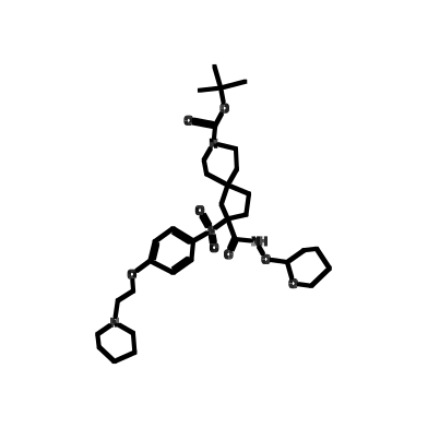 CC(C)(C)OC(=O)N1CCC2(CC1)CCC(C(=O)NOC1CCCCO1)(S(=O)(=O)c1ccc(OCCN3CCCCC3)cc1)C2